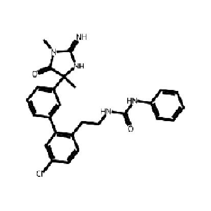 CN1C(=N)NC(C)(c2cccc(-c3cc(Cl)ccc3CCNC(=O)Nc3ccccc3)c2)C1=O